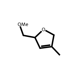 COCC1C=C(C)CO1